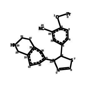 CC(C)Oc1ccc(C2SC=NN2c2ccc3c(c2)CCNC3)cc1C#N